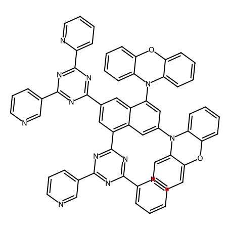 c1ccc(-c2nc(-c3cccnc3)nc(-c3cc(-c4nc(-c5cccnc5)nc(-c5ccccn5)n4)c4cc(N5c6ccccc6Oc6ccccc65)cc(N5c6ccccc6Oc6ccccc65)c4c3)n2)nc1